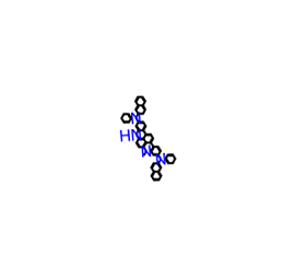 CN1c2cc(N(C3=CCCC=C3)c3ccc4ccccc4c3)ccc2-c2ccc3c4c(ccc1c24)Nc1cc(N(C2=CCCC=C2)C2C=c4ccccc4=CC2)ccc1-3